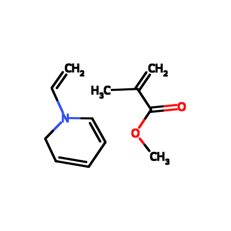 C=C(C)C(=O)OC.C=CN1C=CC=CC1